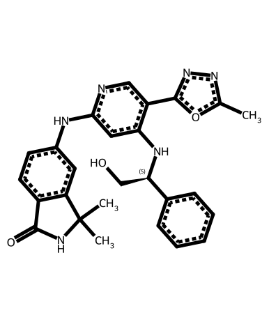 Cc1nnc(-c2cnc(Nc3ccc4c(c3)C(C)(C)NC4=O)cc2N[C@H](CO)c2ccccc2)o1